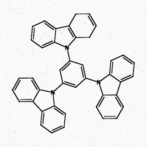 C1=CCc2c(c3ccccc3n2-c2cc(-n3c4ccccc4c4ccccc43)cc(-n3c4ccccc4c4ccccc43)c2)C1